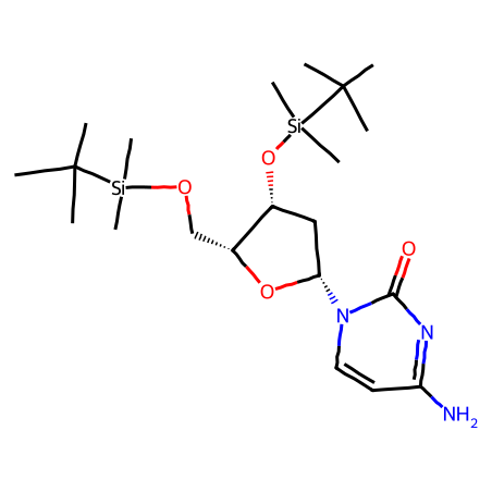 CC(C)(C)[Si](C)(C)OC[C@H]1O[C@@H](n2ccc(N)nc2=O)C[C@H]1O[Si](C)(C)C(C)(C)C